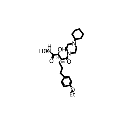 CCOc1ccc(CCC[C@@H](C(=O)N2CCN(C3CCCCC3)CC2)[C@H](O)C(=O)NO)cc1